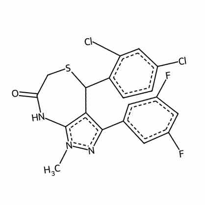 Cn1nc(-c2cc(F)cc(F)c2)c2c1NC(=O)CSC2c1ccc(Cl)cc1Cl